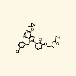 CC(COc1cccc(-c2nc3c(OC4(C)CC4)ncnc3n2Cc2cccc(Cl)c2)c1Cl)CC(=O)O